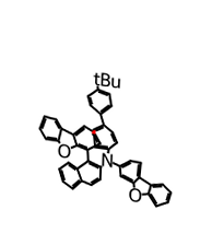 CC(C)(C)c1ccc(-c2ccc(N(c3ccc4c(c3)oc3ccccc34)c3ccc4ccccc4c3-c3cccc4c3oc3ccccc34)cc2)cc1